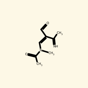 CC(=N)/C(C=O)=C\N(C)C(C)=O